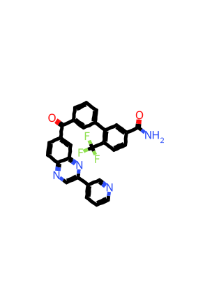 NC(=O)c1ccc(C(F)(F)F)c(-c2cccc(C(=O)c3ccc4ncc(-c5cccnc5)nc4c3)c2)c1